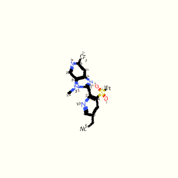 CCS(=O)(=O)c1cc(CC#N)cnc1-c1nc2cc(C(F)(F)F)ncc2n1C